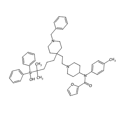 Cc1ccc(N(C(=O)c2ccco2)C2CCN(CCC3(CCCC(C)(C)[Si](O)(c4ccccc4)c4ccccc4)CCN(Cc4ccccc4)CC3)CC2)cc1